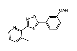 COc1cccc(-c2nc(-c3ncccc3C)no2)c1